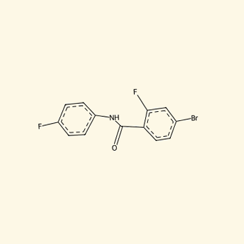 O=C(Nc1ccc(F)cc1)c1ccc(Br)cc1F